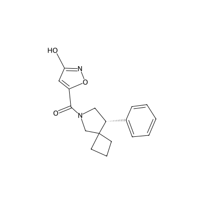 O=C(c1cc(O)no1)N1C[C@H](c2ccccc2)C2(CCC2)C1